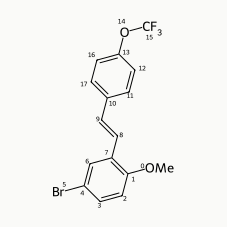 COc1ccc(Br)cc1/C=C/c1ccc(OC(F)(F)F)cc1